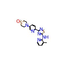 Cc1cccnc1Nc1nc(-c2ccc(N3CC[S+]([O-])CC3)cn2)ns1